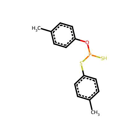 Cc1ccc(OP(S)Sc2ccc(C)cc2)cc1